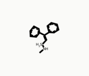 CN[SiH2]C=C(c1ccccc1)c1ccccc1